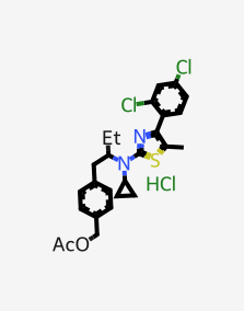 CCC(Cc1ccc(COC(C)=O)cc1)N(c1nc(-c2ccc(Cl)cc2Cl)c(C)s1)C1CC1.Cl